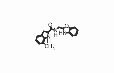 Cc1cccc2c1NC(C(=O)NCC1Nc3ccccc3O1)C2